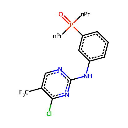 CCCP(=O)(CCC)c1cccc(Nc2ncc(C(F)(F)F)c(Cl)n2)c1